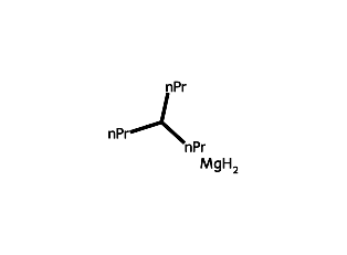 [CH2]CCC(CCC)CCC.[MgH2]